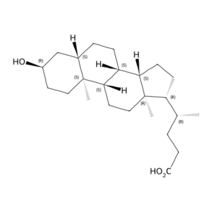 C[C@H](CCC(=O)O)[C@H]1CC[C@H]2[C@H]3CC[C@H]4C[C@H](O)CC[C@]4(C)[C@H]3CC[C@]12C